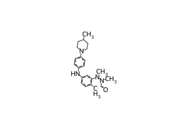 Cc1ccc(Nc2ccc(N3CCC(C)CC3)cc2)cc1N(C)N(C)C=O